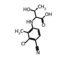 Cc1c(NC(C(=O)O)[C@H](C)O)ccc(C#N)c1Cl